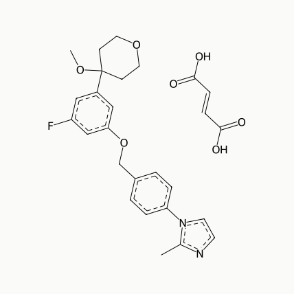 COC1(c2cc(F)cc(OCc3ccc(-n4ccnc4C)cc3)c2)CCOCC1.O=C(O)/C=C/C(=O)O